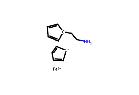 NCC[c-]1cccc1.[Fe+2].c1cc[cH-]c1